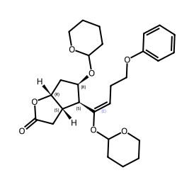 O=C1C[C@H]2[C@H](/C(=C\CCOc3ccccc3)OC3CCCCO3)[C@H](OC3CCCCO3)C[C@H]2O1